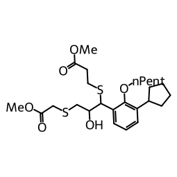 CCCCCOc1c(C2CCCC2)cccc1C(SCCC(=O)OC)C(O)CSCC(=O)OC